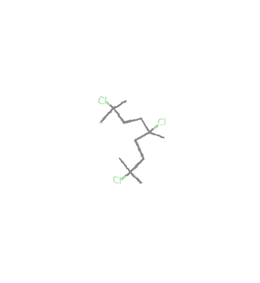 CC(C)(Cl)CCC(C)(Cl)CCC(C)(C)Cl